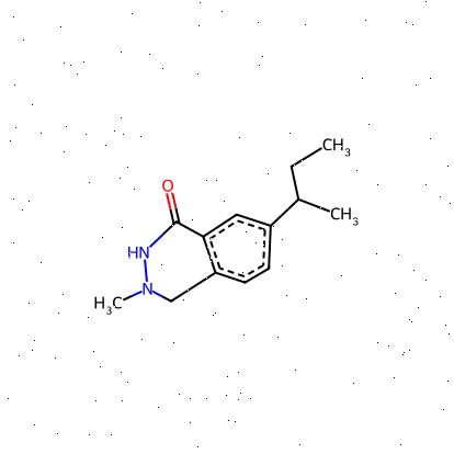 CCC(C)c1ccc2c(c1)C(=O)NN(C)C2